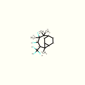 CC12C3CCC(CC31)C(C)(C)C(C)(F)C(F)C2C(F)(F)F